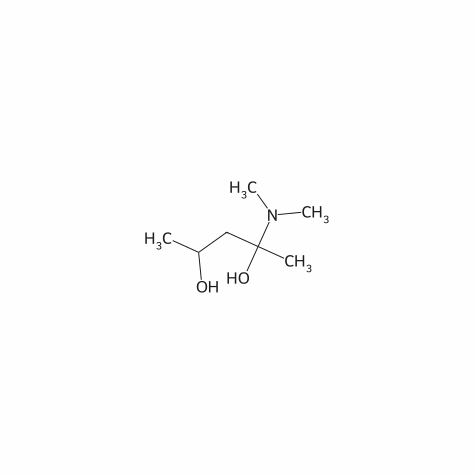 CC(O)CC(C)(O)N(C)C